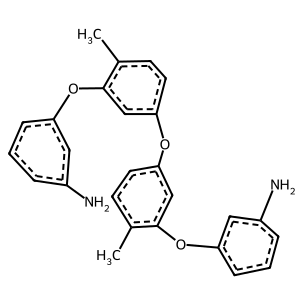 Cc1ccc(Oc2ccc(C)c(Oc3cccc(N)c3)c2)cc1Oc1cccc(N)c1